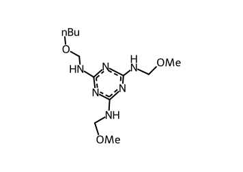 CCCCOCNc1nc(NCOC)nc(NCOC)n1